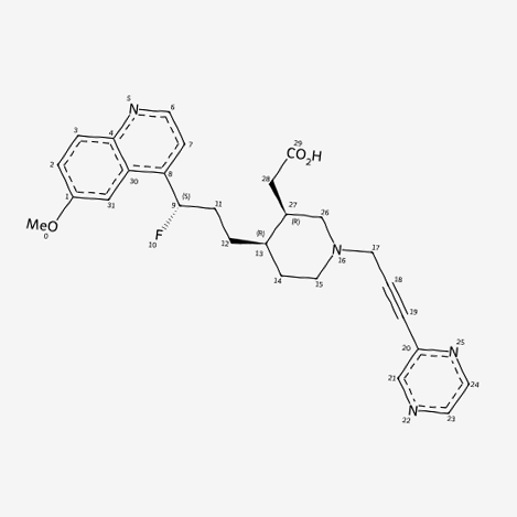 COc1ccc2nccc([C@@H](F)CC[C@@H]3CCN(CC#Cc4cnccn4)C[C@@H]3CC(=O)O)c2c1